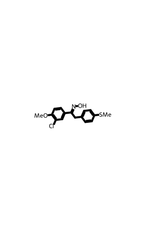 COc1ccc(C(Cc2ccc(SC)cc2)=NO)cc1Cl